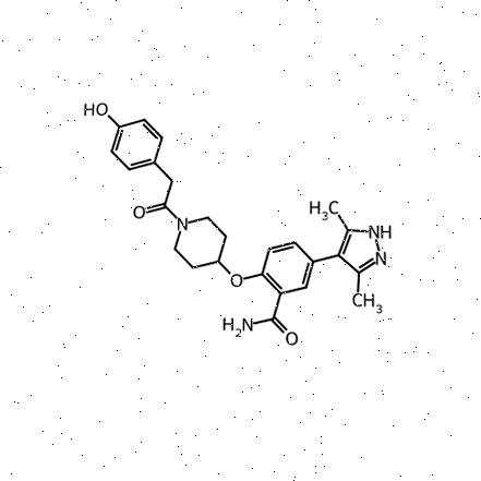 Cc1n[nH]c(C)c1-c1ccc(OC2CCN(C(=O)Cc3ccc(O)cc3)CC2)c(C(N)=O)c1